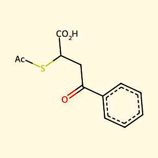 CC(=O)SC(CC(=O)c1ccccc1)C(=O)O